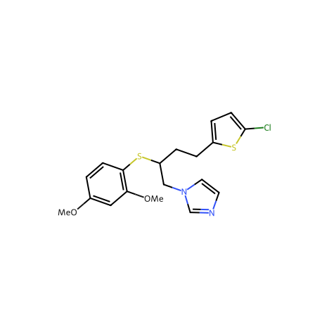 COc1ccc(SC(CCc2ccc(Cl)s2)Cn2ccnc2)c(OC)c1